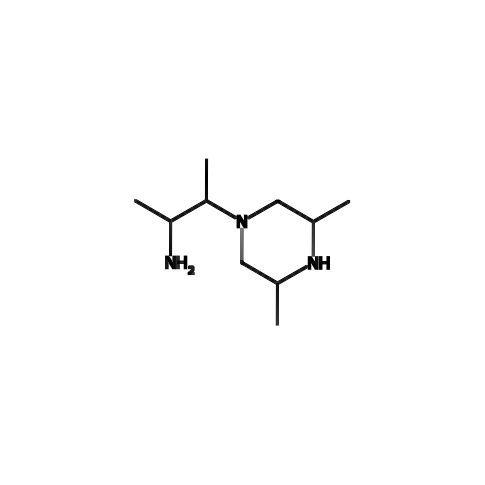 CC1CN(C(C)C(C)N)CC(C)N1